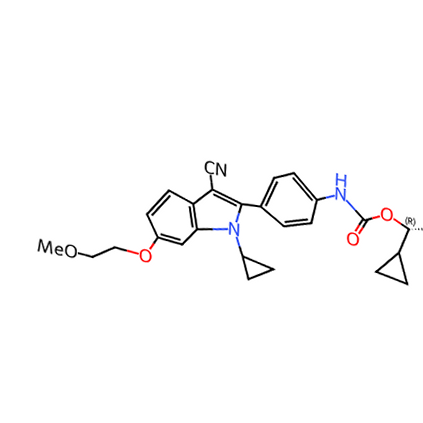 COCCOc1ccc2c(C#N)c(-c3ccc(NC(=O)O[C@H](C)C4CC4)cc3)n(C3CC3)c2c1